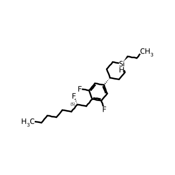 CCCCCC[C@H](F)Cc1c(F)cc([C@H]2CC[Si@H](CCC)CC2)cc1F